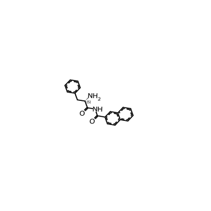 N[C@@H](Cc1ccccc1)C(=O)NC(=O)c1ccc2ccccc2c1